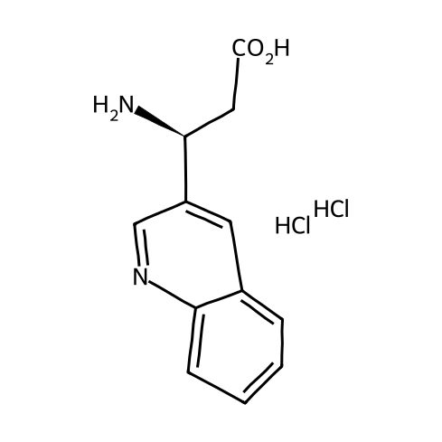 Cl.Cl.N[C@@H](CC(=O)O)c1cnc2ccccc2c1